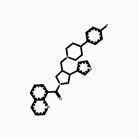 O=C(c1cccc2cccnc12)N1CC(CN2CCC(c3ccc(F)cc3)CC2)C(c2ccsc2)C1